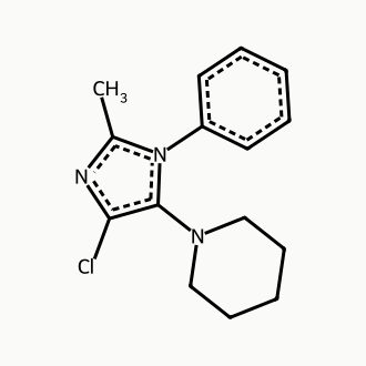 Cc1nc(Cl)c(N2CCCCC2)n1-c1ccccc1